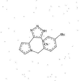 CC(C)(C)c1ccc(Cn2cccc2-c2nn[nH]c2C#N)cc1